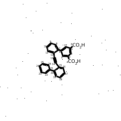 O=C(O)c1cc(C(=O)O)cc(-c2ccccc2C#Cc2ccccc2-c2ccccc2)c1